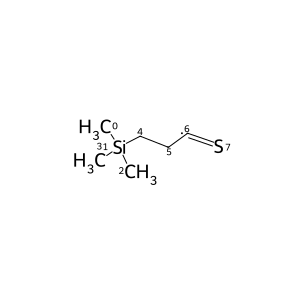 C[Si](C)(C)CC[C]=S